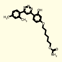 Cc1ccc(-c2cc(-c3ccc(OCCCCCCOC(N)=O)cc3O)nnn2)c(C)c1